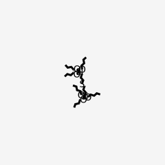 CCCCO[Si](CCCSCCC[Si](OCCCC)(OCCCC)OCCCC)(OCCCC)OCCCC